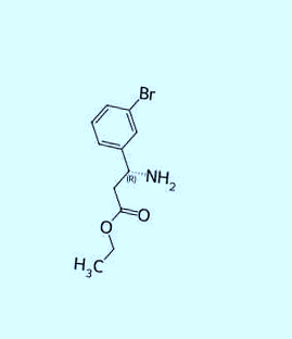 CCOC(=O)C[C@@H](N)c1cccc(Br)c1